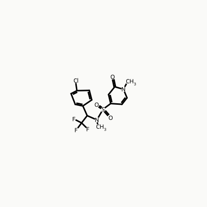 CN(C(c1ccc(Cl)cc1)C(F)(F)F)S(=O)(=O)c1ccn(C)c(=O)c1